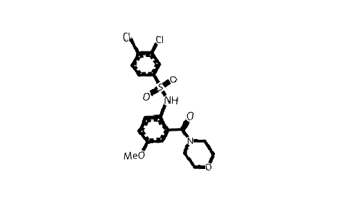 COc1ccc(NS(=O)(=O)c2ccc(Cl)c(Cl)c2)c(C(=O)N2CCOCC2)c1